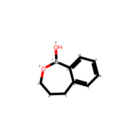 OB1OCCCc2ccccc21